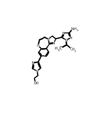 CC(C)n1nc(N)nc1C1CN2CCOc3cc(-c4cn(CCO)cn4)ccc3C2=N1